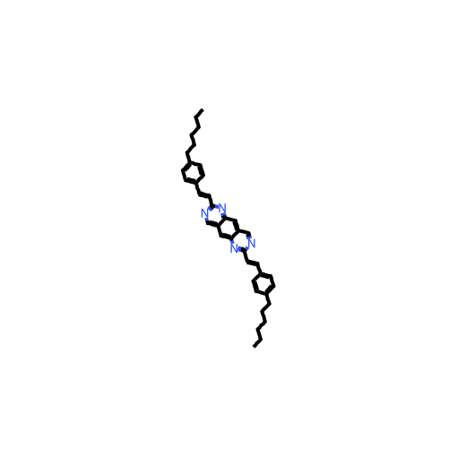 CCCCCCc1ccc(/C=C/c2ncc3cc4nc(/C=C/c5ccc(CCCCCC)cc5)ncc4cc3n2)cc1